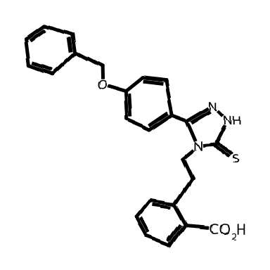 O=C(O)c1ccccc1CCn1c(-c2ccc(OCc3ccccc3)cc2)n[nH]c1=S